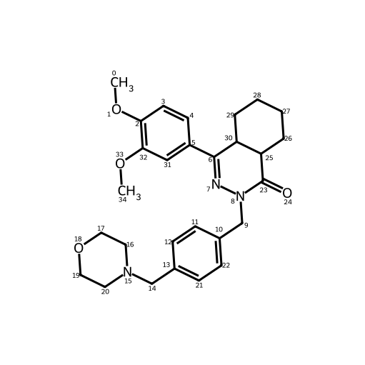 COc1ccc(C2=NN(Cc3ccc(CN4CCOCC4)cc3)C(=O)C3CCCCC23)cc1OC